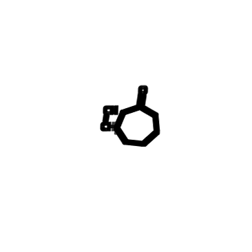 CC#N.O=C1CCCCCC1